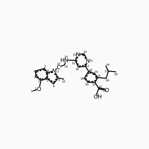 COc1cccc2c1cc(C)n2CCNc1cc(-c2ccc(C(=O)O)c(CC(C)C)c2)ncn1